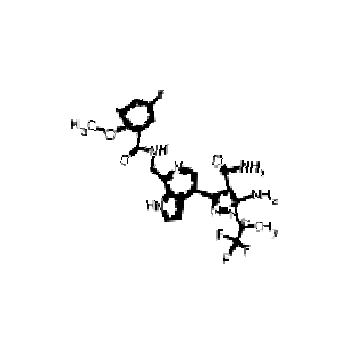 COc1ccc(F)cc1C(=O)NCc1ncc(-c2nn([C@@H](C)C(F)(F)F)c(N)c2C(N)=O)c2cc[nH]c12